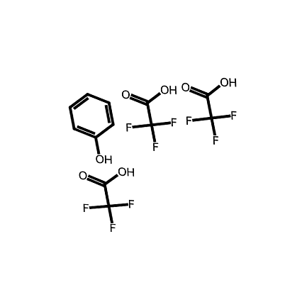 O=C(O)C(F)(F)F.O=C(O)C(F)(F)F.O=C(O)C(F)(F)F.Oc1ccccc1